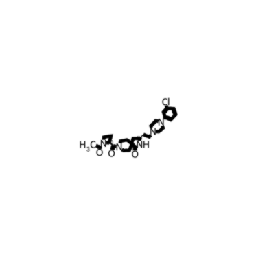 CC(=O)N1CC[C@H]1C(=O)N1CCC2(CC1)C[C@H](CCN1CCN(c3cccc(Cl)c3)CC1)NC2=O